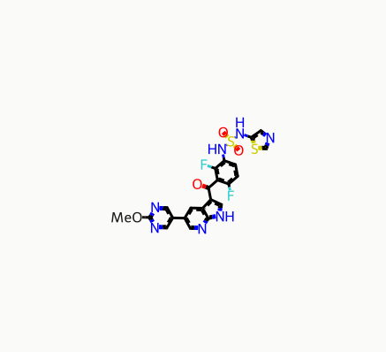 COc1ncc(-c2cnc3[nH]cc(C(=O)c4c(F)ccc(NS(=O)(=O)Nc5cncs5)c4F)c3c2)cn1